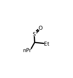 CCCC(CC)[S+]=O